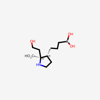 O=C(O)[C@@]1(CCO)NCC[C@H]1CCCB(O)O